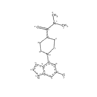 CN(C)C(=O)C1CCN(c2cc(Cl)cc3[nH]ncc23)CC1